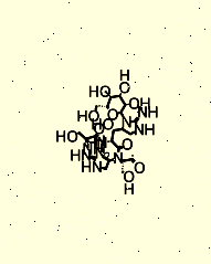 N=C1NCC(N(C(=O)[C@H](NC(=O)[C@@H](N)CO)C(O)C2CNC(=N)N2C2O[C@H](CO)[C@@H](O)[C@H](O)[C@@H]2O)[C@H]([C]=O)CO)N1